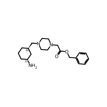 N[C@H]1CCC[C@@H](CN2CCN(CC(=O)OCc3ccccc3)CC2)C1